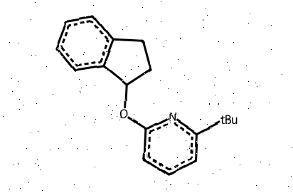 CC(C)(C)c1cccc(OC2CCc3ccccc32)n1